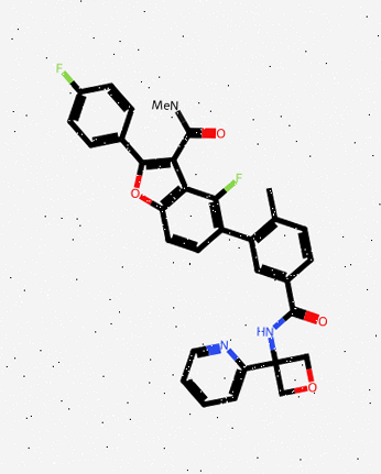 CNC(=O)c1c(-c2ccc(F)cc2)oc2ccc(-c3cc(C(=O)NC4(c5ccccn5)COC4)ccc3C)c(F)c12